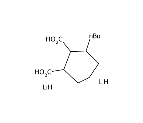 CCCCC1CCCC(C(=O)O)C1C(=O)O.[LiH].[LiH]